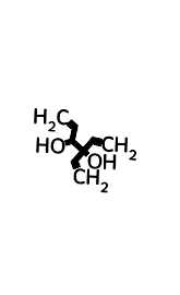 C=CC(O)C(O)(C=C)C=C